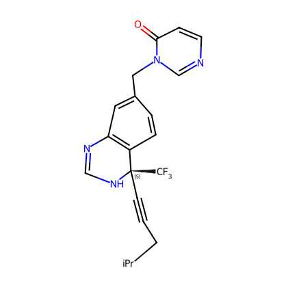 CC(C)CC#C[C@]1(C(F)(F)F)NC=Nc2cc(Cn3cnccc3=O)ccc21